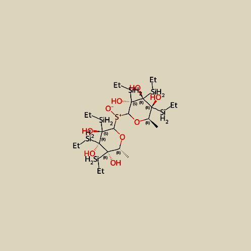 CC[SiH2][C@@]1(O)[C@](O)([SiH2]CC)C([S+]([O-])C2O[C@H](C)[C@@](O)([SiH2]CC)[C@@](O)([SiH2]CC)[C@]2(O)[SiH2]CC)O[C@H](C)[C@@]1(O)[SiH2]CC